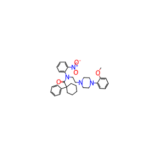 COc1ccccc1N1CCN(CCN(C(=O)C2(c3ccccc3)CCCCC2)c2ccccc2[N+](=O)[O-])CC1